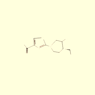 CC[C@H]1CCN(c2nc(C(=O)O)co2)CC1S